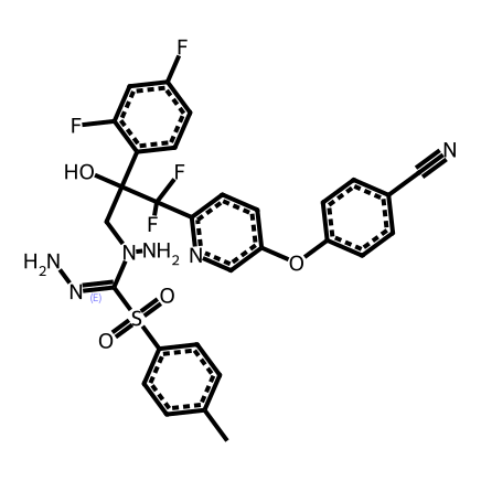 Cc1ccc(S(=O)(=O)/C(=N/N)N(N)CC(O)(c2ccc(F)cc2F)C(F)(F)c2ccc(Oc3ccc(C#N)cc3)cn2)cc1